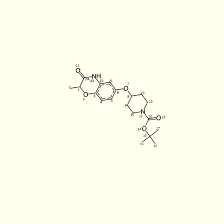 CC1Oc2ccc(OC3CCN(C(=O)OC(C)(C)C)CC3)cc2NC1=O